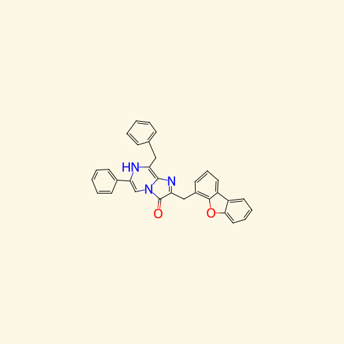 O=c1c(Cc2cccc3c2oc2ccccc23)nc2c(Cc3ccccc3)[nH]c(-c3ccccc3)cn1-2